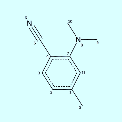 Cc1ccc(C#N)c(N(C)C)c1